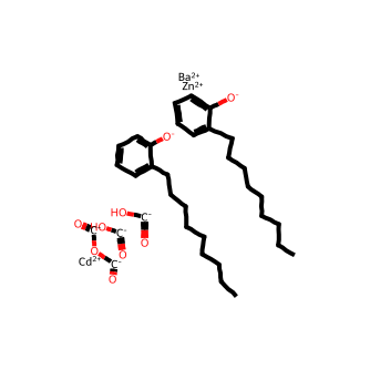 CCCCCCCCCc1ccccc1[O-].CCCCCCCCCc1ccccc1[O-].O=[C-]O.O=[C-]O.O=[C-]O[C-]=O.[Ba+2].[Cd+2].[Zn+2]